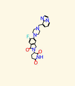 O=C1CCC(N2Cc3cc(N4CCN(Cc5cccn6ccnc56)CC4)c(F)cc3C2=O)C(=O)N1